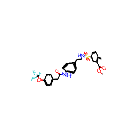 COC(=O)c1cc(S(=O)(=O)NCCc2ccc(NC(=O)Cc3ccc(OC(F)(F)F)cc3)cc2)ccc1C